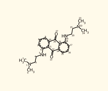 CN(C)CCNc1cccc2c1C(=O)c1cccc(NCCN(C)C)c1C2=O